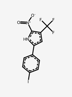 O=[N+]([O-])c1[nH]c(-c2ccc(I)cc2)cc1C(F)(F)F